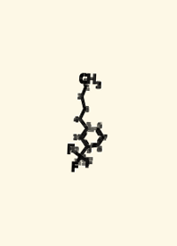 CCCCCc1cccc(C(F)(F)F)c1